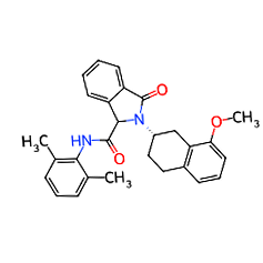 COc1cccc2c1C[C@@H](N1C(=O)c3ccccc3C1C(=O)Nc1c(C)cccc1C)CC2